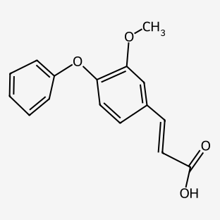 COc1cc(C=CC(=O)O)ccc1Oc1ccccc1